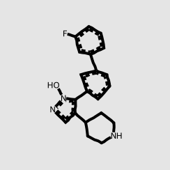 On1ncc(C2CCNCC2)c1-c1cccc(-c2cccc(F)c2)c1